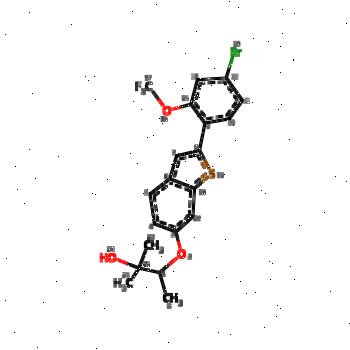 CC(Oc1ccc2cc(-c3ccc(Br)cc3OC(F)(F)F)sc2c1)C(C)(C)O